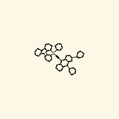 C(#CS(c1ccccc1)(c1ccccc1)c1cccc2c1oc1ccccc12)c1c2ccccc2c(-c2ccccc2)c2cc(-c3ccccc3)ccc12